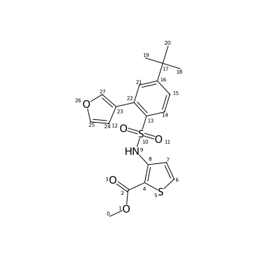 COC(=O)c1sccc1NS(=O)(=O)c1ccc(C(C)(C)C)cc1-c1ccoc1